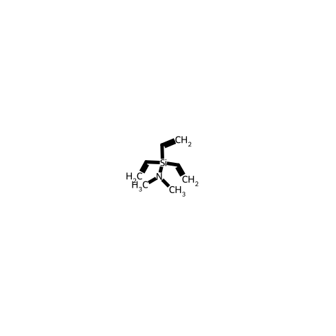 C=C[Si](C=C)(C=C)N(C)C